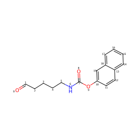 O=[C]CCCCNC(=O)Oc1ccc2ccccc2c1